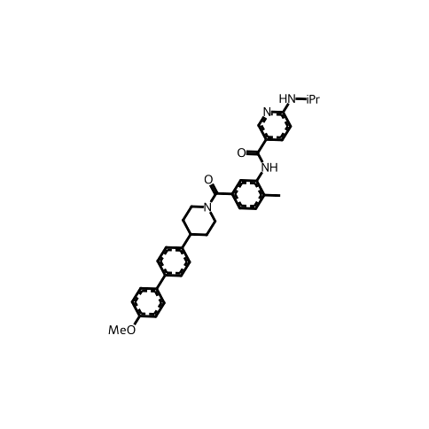 COc1ccc(-c2ccc(C3CCN(C(=O)c4ccc(C)c(NC(=O)c5ccc(NC(C)C)nc5)c4)CC3)cc2)cc1